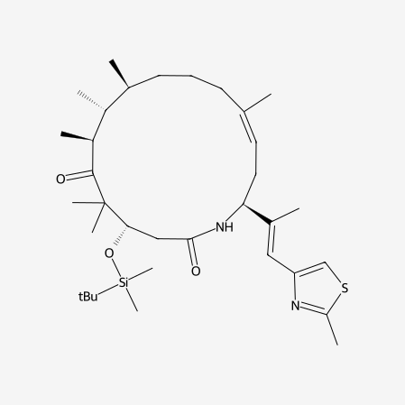 C/C1=C/C[C@@H](/C(C)=C/c2csc(C)n2)NC(=O)C[C@H](O[Si](C)(C)C(C)(C)C)C(C)(C)C(=O)[C@@H](C)[C@H](C)[C@@H](C)CCC1